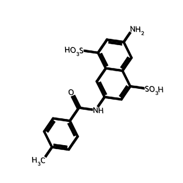 Cc1ccc(C(=O)Nc2cc(S(=O)(=O)O)c3cc(N)cc(S(=O)(=O)O)c3c2)cc1